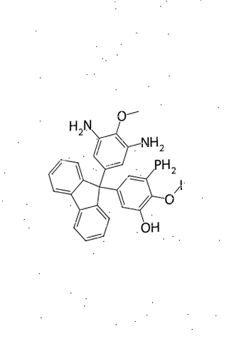 COc1c(N)cc(C2(c3cc(O)c(OI)c(P)c3)c3ccccc3-c3ccccc32)cc1N